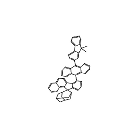 CC1(C)c2ccccc2-c2ccc(-c3c4ccccc4c(-c4cccc5c4-c4ccc6ccccc6c4C54C5CC6CC(C5)CC4C6)c4ccccc34)cc21